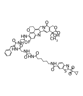 CC[C@@]1(O)C(=O)OCc2c1cc1n(c2=O)Cc2c-1nc1cc(F)c(NC(=O)CNC(=O)[C@H](Cc3ccccc3)NC(=O)CNC(=O)CNC(=O)CCCCCNC(=O)c3ccc4nc(S(=O)(=O)C5CC5)sc4c3)c3c1c2CCO3